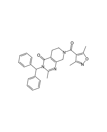 Cc1noc(C)c1C(=O)N1CCc2c(nc(C)n(C(c3ccccc3)c3ccccc3)c2=O)C1